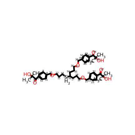 CC(C)(O)C(=O)c1ccc(COCCC[SiH2]C(CCCOCc2ccc(C(=O)C(C)(C)O)cc2)CCCOCc2ccc(C(=O)C(C)(C)O)cc2)cc1